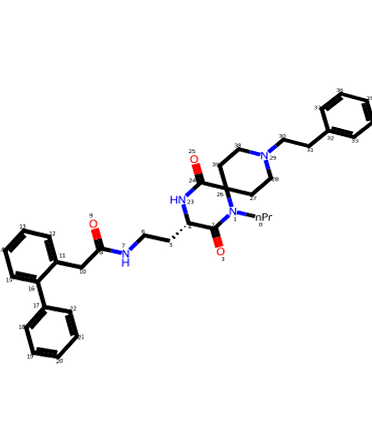 CCCN1C(=O)[C@H](CCNC(=O)Cc2ccccc2-c2ccccc2)NC(=O)C12CCN(CCc1ccccc1)CC2